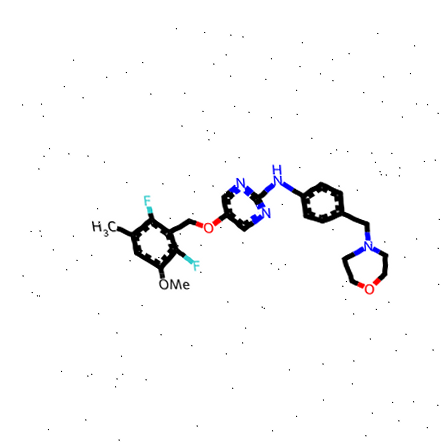 COc1cc(C)c(F)c(COc2cnc(Nc3ccc(CN4CCOCC4)cc3)nc2)c1F